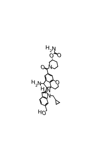 NC(=O)O[C@@H]1CCCN(C(=O)c2cc3c4c(c2)C(N)C(c2cc5ccc(CO)cc5n2CC2CC2)C4(N)CCO3)C1